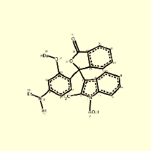 CCCCCCCCn1c(C)c(C2(c3ccc(N(CC)CC)cc3OCCCC)OC(=O)c3ccccc32)c2ccccc21